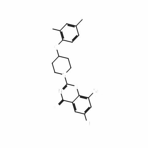 Cc1ccc(OC2CCN(c3nc(=O)c4cc(C(F)(F)F)cc([N+](=O)[O-])c4s3)CC2)c(F)c1